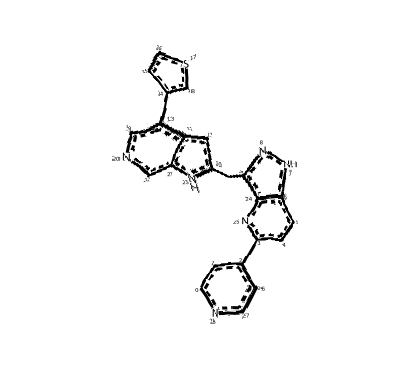 c1cc(-c2ccc3[nH]nc(-c4cc5c(-c6ccsc6)cncc5[nH]4)c3n2)ccn1